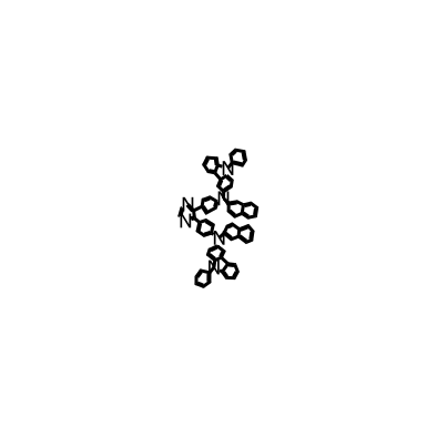 c1ccc(-n2c3ccccc3c3cc(N(c4ccc(-c5nccnc5-c5ccc(N(c6ccc7ccccc7c6)c6ccc7c(c6)c6ccccc6n7-c6ccccc6)cc5)cc4)c4ccc5ccccc5c4)ccc32)cc1